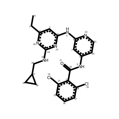 CCc1cc(Nc2cc(NC(=O)c3c(Cl)cccc3Cl)ccn2)nc(NCC2CC2)n1